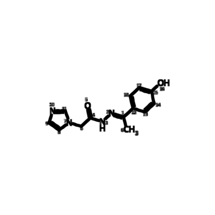 C/C(=N\NC(=O)Cn1ccnc1)c1ccc(O)cc1